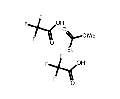 CCC(=O)OC.O=C(O)C(F)(F)F.O=C(O)C(F)(F)F